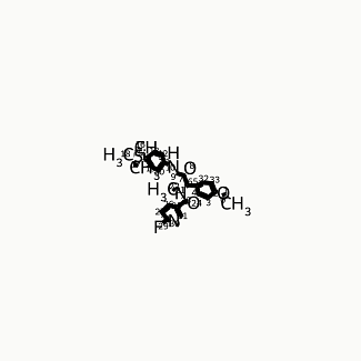 COc1ccc(C(C(=O)CNc2ccc([Si](C)(C)C)cc2)N(C)C(=O)c2ccc(F)nc2)cc1